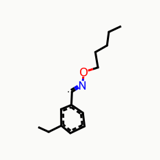 CCCCCO/N=[C]/c1cccc(CC)c1